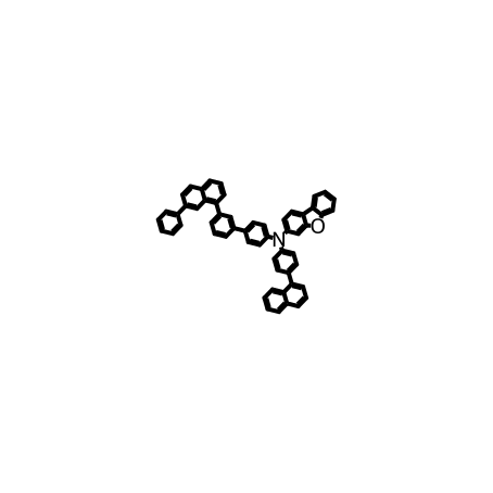 c1ccc(-c2ccc3cccc(-c4cccc(-c5ccc(N(c6ccc(-c7cccc8ccccc78)cc6)c6ccc7c(c6)oc6ccccc67)cc5)c4)c3c2)cc1